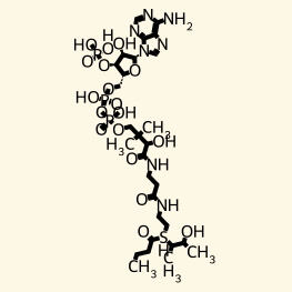 CCCC(=O)[SH](CCNC(=O)CCNC(=O)C(O)C(C)(C)COP(=O)(O)OP(=O)(O)OC[C@H]1O[C@@H](n2cnc3c(N)ncnc32)[C@H](O)[C@@H]1OP(=O)(O)O)C(C)C(C)O